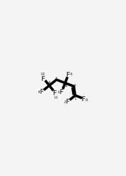 FC(F)=CC(F)(F)CC(F)(F)F